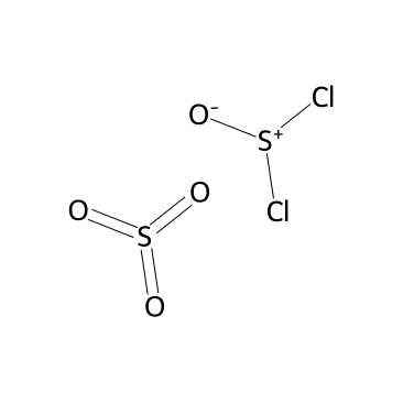 O=S(=O)=O.[O-][S+](Cl)Cl